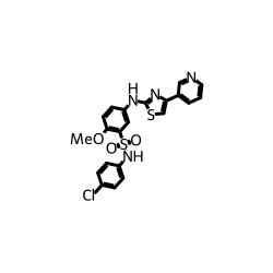 COc1ccc(Nc2nc(-c3cccnc3)cs2)cc1S(=O)(=O)Nc1ccc(Cl)cc1